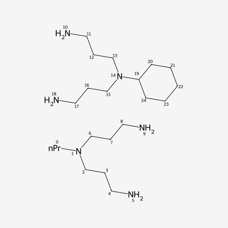 CCCN(CCCN)CCCN.NCCCN(CCCN)C1CCCCC1